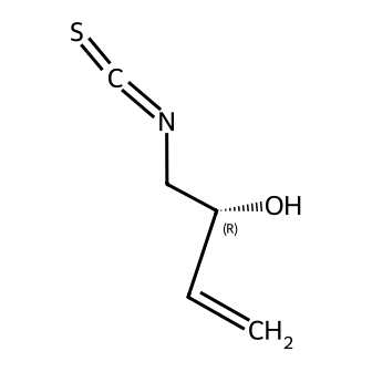 C=C[C@@H](O)CN=C=S